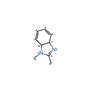 CC1=NC2C=CC=CC2N1C